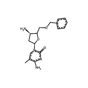 Cc1cn(C2C[C@@H](N)C(COCc3ccccc3)O2)c(=O)nc1N